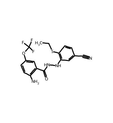 CCSc1ccc(C#N)cc1NNC(=O)c1cc(OC(F)(F)F)ccc1N